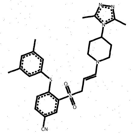 Cc1cc(C)cc(Sc2ccc(C#N)cc2S(=O)(=O)CC=CN2CCC(n3c(C)nnc3C)CC2)c1